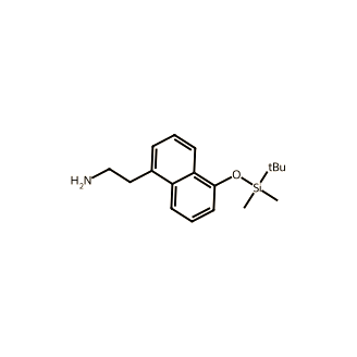 CC(C)(C)[Si](C)(C)Oc1cccc2c(CCN)cccc12